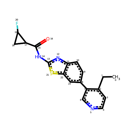 CCc1ccncc1-c1ccc2nc(NC(=O)C3CC3F)sc2c1